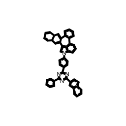 C1=CC2C=C3C(=CC2C=C1)c1cn(-c2ccc(-c4nc(-c5ccccc5)nc(-c5ccc6ccccc6c5)n4)cc2)c2cccc(c12)-c1ccccc13